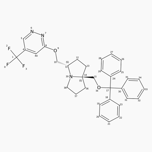 FC(F)(F)c1cnnc(OC[C@@H]2CC[C@]3(COC(c4ccccc4)(c4ccccc4)c4ccccc4)CCCN23)c1